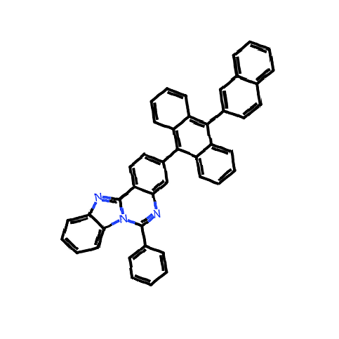 c1ccc(-c2nc3cc(-c4c5ccccc5c(-c5ccc6ccccc6c5)c5ccccc45)ccc3c3nc4ccccc4n23)cc1